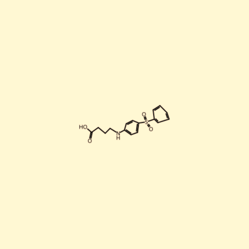 O=C(O)CCCNc1ccc(S(=O)(=O)c2ccccc2)cc1